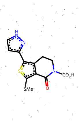 CSc1sc(-c2cc[nH]n2)c2c1C(=O)N(C(=O)O)CC2